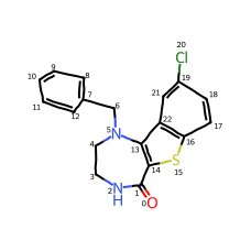 O=C1NCCN(Cc2ccccc2)c2c1sc1ccc(Cl)cc21